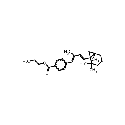 CCCOC(=O)c1ccc(C=C(C)C=CC23CC2(C)CCCC3(C)C)cc1